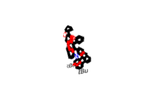 CC(C)(C)c1cc(-c2cccc3cccc(-c4ccccc4N(c4cccc(-c5ccc6c(c5)oc5ccccc56)c4)c4ccccc4-c4cccc5oc6ccccc6c45)c23)cc(C(C)(C)C)c1